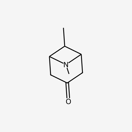 CC1C2CC(=O)CC1N2C